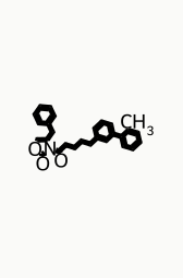 Cc1ccccc1-c1cccc(CCCCC(=O)N2C(=O)OCC2Cc2ccccc2)c1